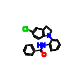 O=C(Nc1ccccc1N1CCc2cc(Cl)ccc21)c1ccccc1